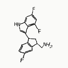 NCC1CC(c2c[nH]c3cc(F)cc(F)c23)c2ccc(F)cc21